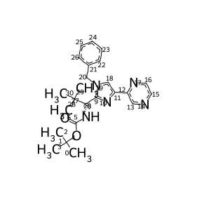 CC(C)(C)OC(=O)N[C@@H](c1nc(-c2cnccn2)cn1Cc1ccccc1)C(C)(C)C